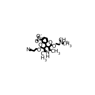 CC1=C(C(=O)OCCC#N)C(c2cccc([N+](=O)[O-])c2)C(C(=O)OCCN(C)C)=C(C)N1